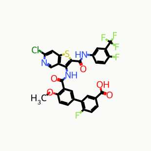 COc1ccc(-c2cc(C(=O)O)ccc2F)cc1C(=O)Nc1c(C(=O)Nc2ccc(F)c(C(F)(F)F)c2)sc2cc(Cl)ncc12